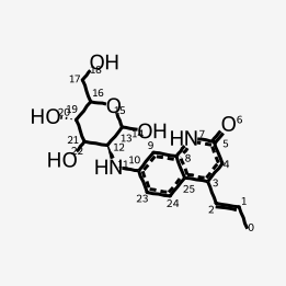 C/C=C/c1cc(=O)[nH]c2cc(N[C@@H]3C(O)OC(CO)[C@@H](O)C3O)ccc12